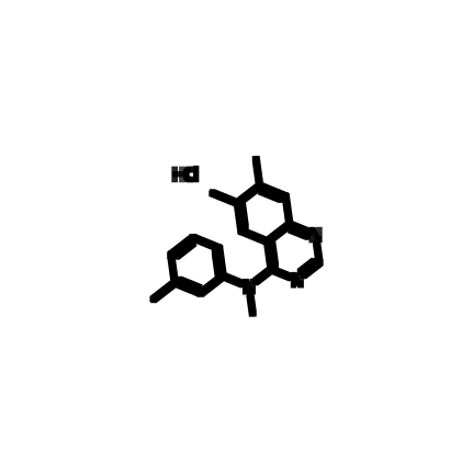 Cc1cccc(N(C)c2ncnc3cc(C)c(C)cc23)c1.Cl